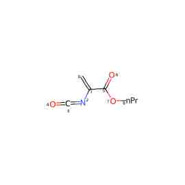 C=C(N=C=O)C(=O)OCCC